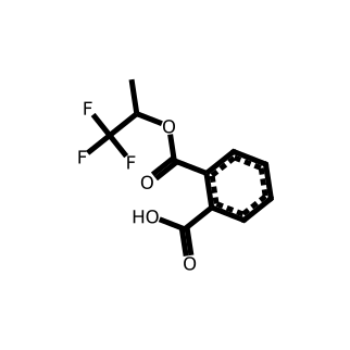 CC(OC(=O)c1ccccc1C(=O)O)C(F)(F)F